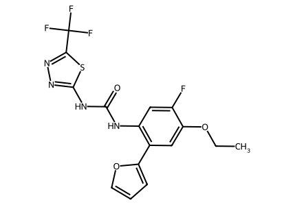 CCOc1cc(-c2ccco2)c(NC(=O)Nc2nnc(C(F)(F)F)s2)cc1F